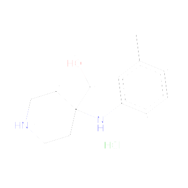 Cc1cccc(NC2(CO)CCNCC2)c1.Cl